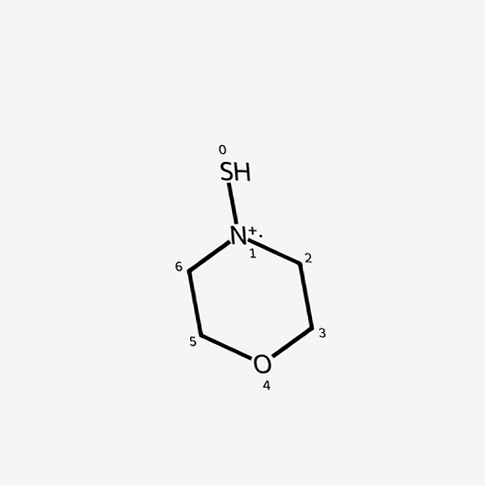 S[N+]1CCOCC1